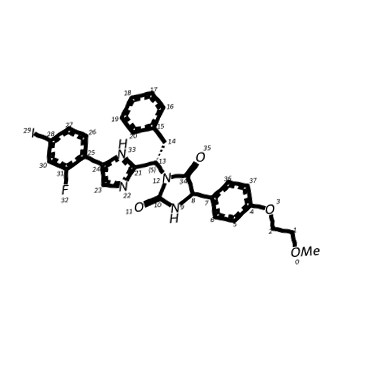 COCCOc1ccc(C2NC(=O)N([C@@H](Cc3ccccc3)c3ncc(-c4ccc(I)cc4F)[nH]3)C2=O)cc1